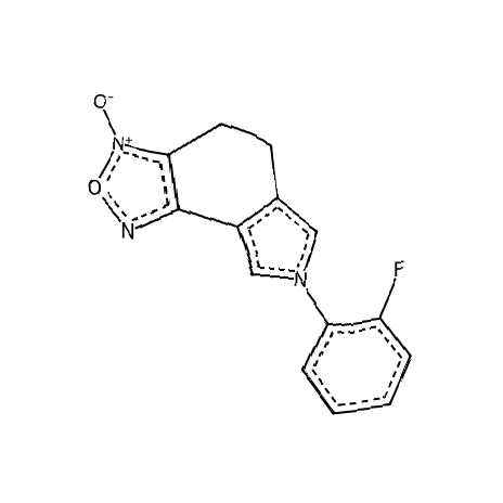 [O-][n+]1onc2c1CCc1cn(-c3ccccc3F)cc1-2